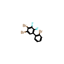 Fc1c(-c2ccc[c]c2Br)cc(Br)c(Br)c1F